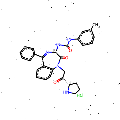 Cc1cccc(NC(=O)N[C@@H]2N=C(c3ccccc3)c3ccccc3N(CC(=O)[C@@H]3CCCN3)C2=O)c1.Cl